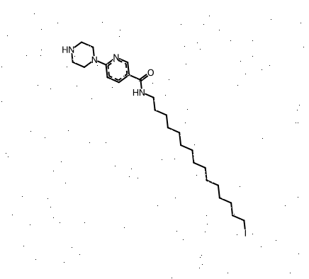 O=C(NCCCCCCCCCCCCCCCI)c1ccc(N2CCNCC2)nc1